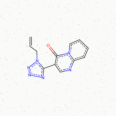 C=CCn1nnnc1-c1cnc2ccccn2c1=O